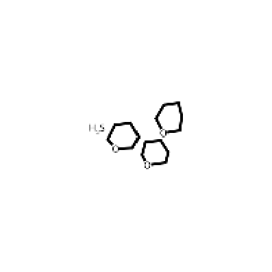 C1CCOCC1.C1CCOCC1.C1CCOCC1.S